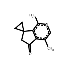 Cc1cnc(C)c2c1C(=O)CC21CC1